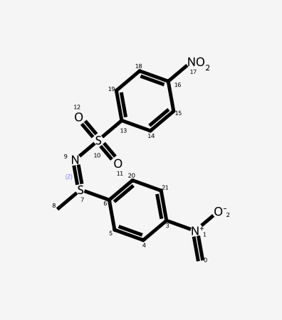 C=[N+]([O-])c1ccc(/S(C)=N\S(=O)(=O)c2ccc([N+](=O)[O-])cc2)cc1